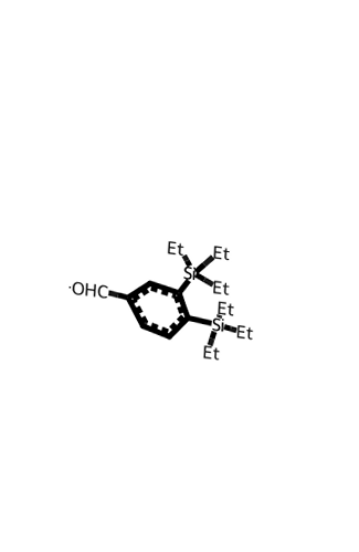 CC[Si](CC)(CC)c1ccc([C]=O)cc1[Si](CC)(CC)CC